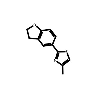 Cc1[c]sc(-c2ccc3c(c2)CCO3)n1